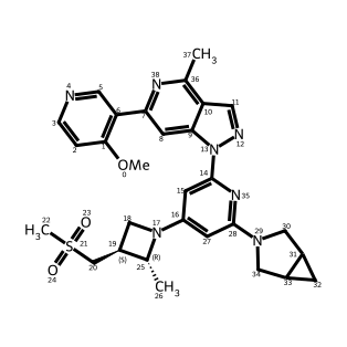 COc1ccncc1-c1cc2c(cnn2-c2cc(N3C[C@H](CS(C)(=O)=O)[C@H]3C)cc(N3CC4CC4C3)n2)c(C)n1